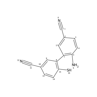 N#Cc1ccc(N)c(-c2cc(C#N)ccc2S)c1